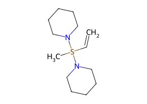 C=CS(C)(N1CCCCC1)N1CCCCC1